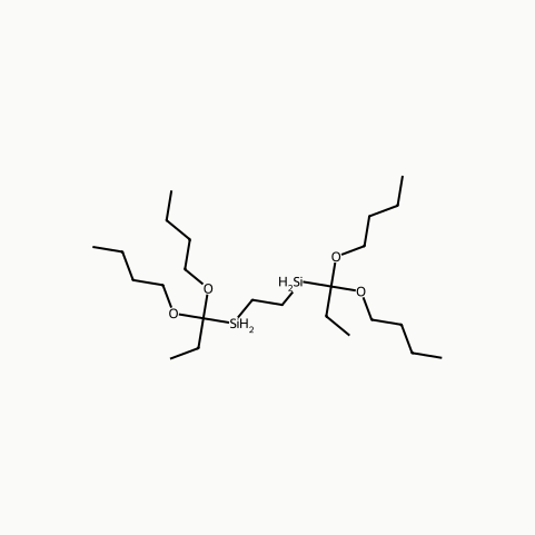 CCCCOC(CC)(OCCCC)[SiH2]CC[SiH2]C(CC)(OCCCC)OCCCC